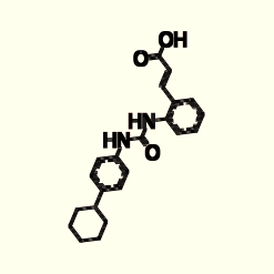 O=C(O)C=Cc1ccccc1NC(=O)Nc1ccc(C2CCCCC2)cc1